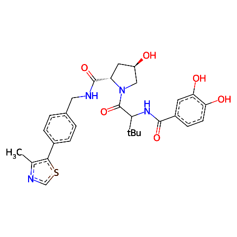 Cc1ncsc1-c1ccc(CNC(=O)[C@@H]2C[C@@H](O)CN2C(=O)C(NC(=O)c2ccc(O)c(O)c2)C(C)(C)C)cc1